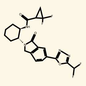 O=C(N[C@@H]1CCCC[C@H]1N1Cc2ccc(-c3nnc(C(F)F)o3)cc2C1=O)C1CC1(F)F